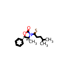 CC(C)CCC(=S)N1C(=O)O[C@@H](c2ccccc2)[C@H]1C